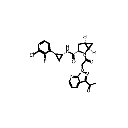 CC(=O)c1nn(CC(=O)N2[C@@H]3C[C@@H]3C[C@H]2C(=O)N[C@@H]2C[C@H]2c2cccc(Cl)c2F)c2ncccc12